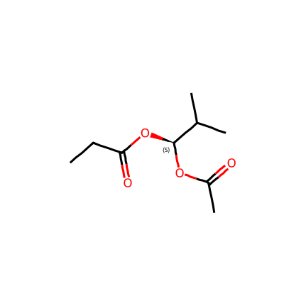 CCC(=O)O[C@H](OC(C)=O)C(C)C